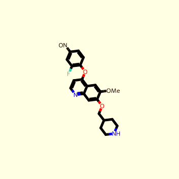 COc1cc2c(Oc3ccc(N=O)cc3F)ccnc2cc1OCC1CCNCC1